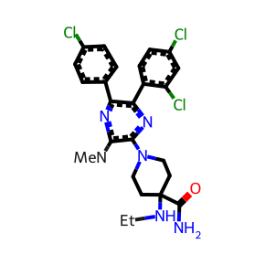 CCNC1(C(N)=O)CCN(c2nc(-c3ccc(Cl)cc3Cl)c(-c3ccc(Cl)cc3)nc2NC)CC1